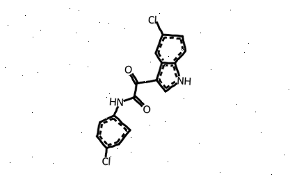 O=C(Nc1ccc(Cl)cc1)C(=O)c1c[nH]c2ccc(Cl)cc12